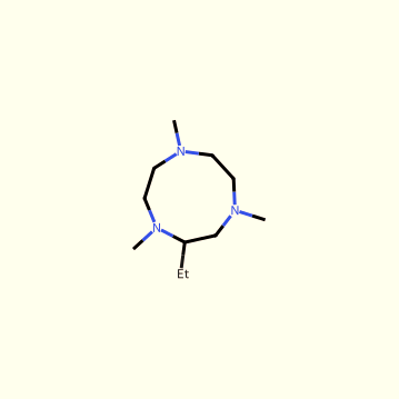 CCC1CN(C)CCN(C)CCN1C